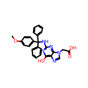 COc1ccc(C(Nc2nc(O)c3ncn(CC(=O)O)c3n2)(c2ccccc2)c2ccccc2)cc1